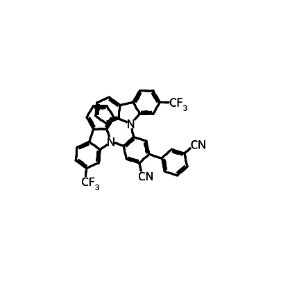 N#Cc1cccc(-c2cc(-n3c4ccccc4c4ccc(C(F)(F)F)cc43)c(-n3c4ccccc4c4ccc(C(F)(F)F)cc43)cc2C#N)c1